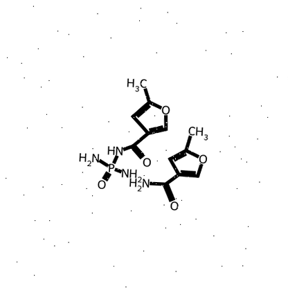 Cc1cc(C(=O)NP(N)(N)=O)co1.Cc1cc(C(N)=O)co1